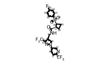 O=C(NCc1cn(-c2ccc(C(F)(F)F)nc2)nc1C(F)(F)F)[C@@H]1CC[C@@H]1S(=O)(=O)c1ccc(F)cc1